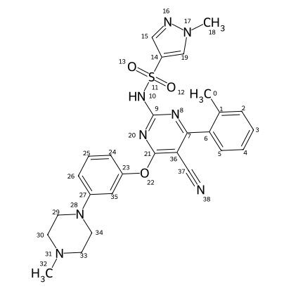 Cc1ccccc1-c1nc(NS(=O)(=O)c2cnn(C)c2)nc(Oc2cccc(N3CCN(C)CC3)c2)c1C#N